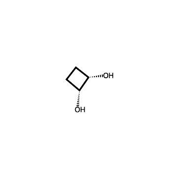 O[C@@H]1CC[C@@H]1O